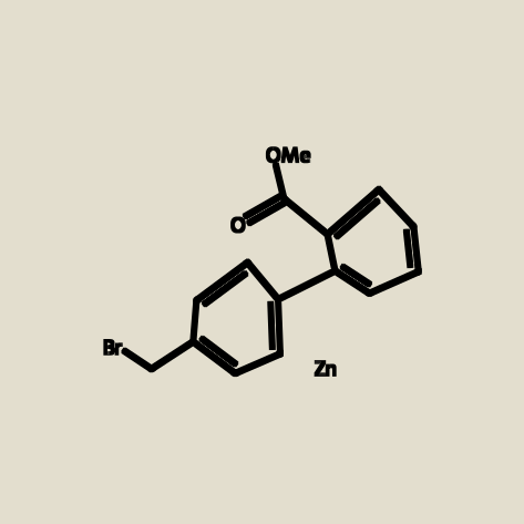 COC(=O)c1ccccc1-c1ccc(CBr)cc1.[Zn]